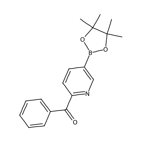 CC1(C)OB(c2ccc(C(=O)c3ccccc3)nc2)OC1(C)C